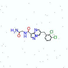 NC(=O)CNC(=O)c1cnn2cc(Cc3cccc(Cl)c3Cl)cnc12